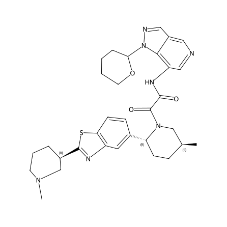 C[C@H]1CC[C@H](c2ccc3sc([C@@H]4CCCN(C)C4)nc3c2)N(C(=O)C(=O)Nc2cncc3cnn(C4CCCCO4)c23)C1